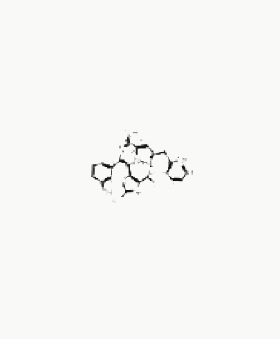 Cc1nc(C(C)O)c(-c2c(-c3cccc(C#N)c3)nc(N)c3cc(Cc4ccccn4)nn23)o1